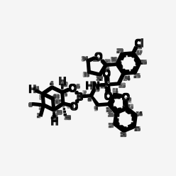 CC1(C)[C@@H]2C[C@H]3OB([C@H](Cc4coc5ccccc45)NS(=O)(=O)Cc4ccc(Cl)cc4C4CCCO4)O[C@@]3(C)[C@H]1C2